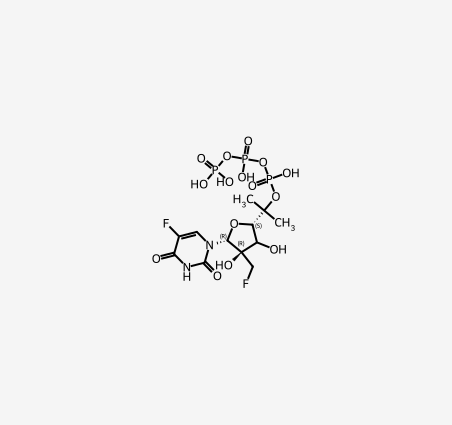 CC(C)(OP(=O)(O)OP(=O)(O)OP(=O)(O)O)[C@H]1O[C@@H](n2cc(F)c(=O)[nH]c2=O)[C@@](O)(CF)C1O